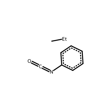 CCC.O=C=Nc1ccccc1